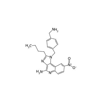 CCCCc1nc2c(N)nc3ccc([N+](=O)[O-])cc3c2n1Cc1ccc(CN)cc1